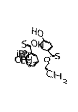 C=CCOC(=S)c1ccc(O)cc1.CC(C)C.CC(C)C.OC(=S)c1ccccc1